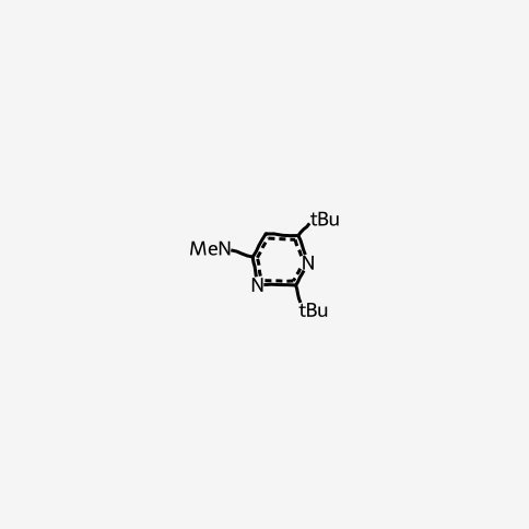 CNc1cc(C(C)(C)C)nc(C(C)(C)C)n1